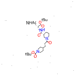 CC(=O)NC[C@@H](CNC(=O)[C@@H]1CCCN(C(=O)CCC2CCN(C(=O)OC(C)(C)C)CC2)C1)C(=O)OC(C)(C)C